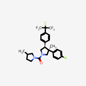 CC1CCN(C(=O)N2C[C@@H](c3ccc(C(F)(C(F)(F)F)C(F)(F)F)cc3)[C@@](C)(c3ccc(F)cc3)C2)C1